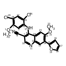 COc1cc(Nc2c(C#N)cnc3cc(-c4ccco4)c(OC)cc23)c(Cl)cc1Cl